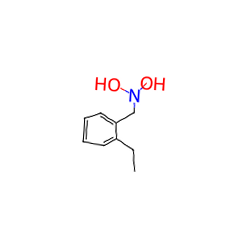 CCc1ccccc1CN(O)O